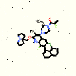 C=C(F)C(=O)N1CCN(C2=C(C#N)C(OCC34CCCN3CCC4)=NC3C(F)=C(c4cccc5cccc(Cl)c45)C=CC23)C[C@@H]1CC#N